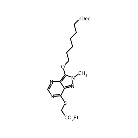 CCCCCCCCCCCCCCCCOc1c2ncnc(SCC(=O)OCC)c2nn1C